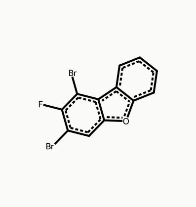 Fc1c(Br)cc2oc3ccccc3c2c1Br